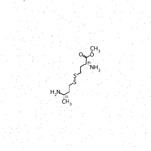 COC(=O)[C@H](N)CCSSCC[C@H](C)N